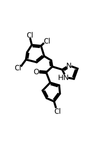 O=C(C(=Cc1cc(Cl)cc(Cl)c1Cl)c1ncc[nH]1)c1ccc(Cl)cc1